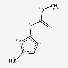 Bc1ccc(CC(=O)OC)s1